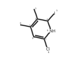 CC1=C(C)C(I)NC(Cl)=C1